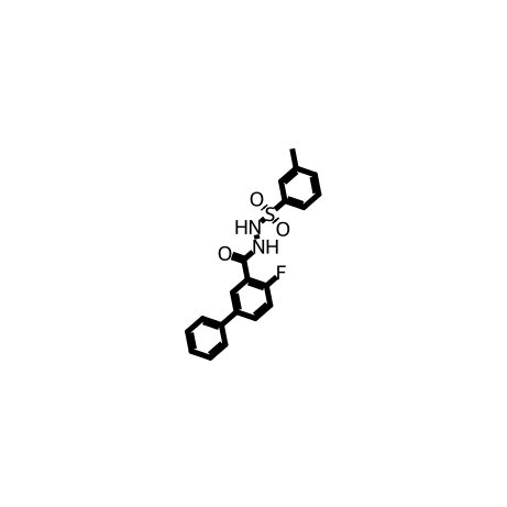 Cc1cccc(S(=O)(=O)NNC(=O)c2cc(-c3ccccc3)ccc2F)c1